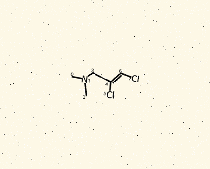 CN(C)CC(Cl)=CCl